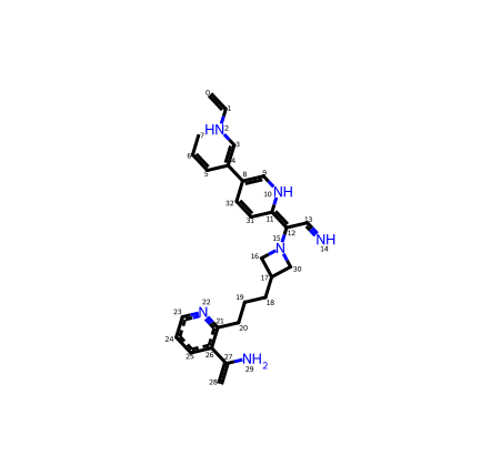 C=CN/C=C(\C=C/C)C1=CN/C(=C(\C=N)N2CC(CCCc3ncccc3C(=C)N)C2)C=C1